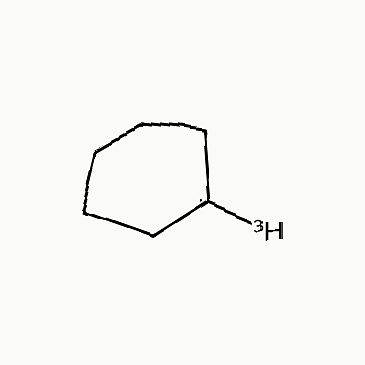 [3H][C]1CCCCC1